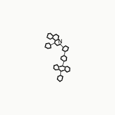 c1ccc(-c2c3ccccc3c(-c3ccc(-c4cccc(-c5cc(-c6ccccc6)c6c(ccc7ccccc76)n5)c4)cc3)c3ccccc23)cc1